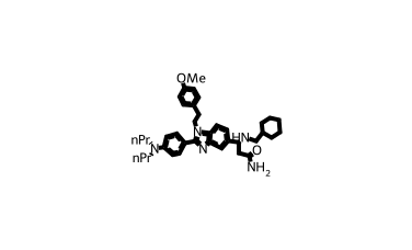 CCCN(CCC)c1ccc(-c2nc3cc(C(CC(N)=O)NCC4CCCCC4)ccc3n2CCc2ccc(OC)cc2)cc1